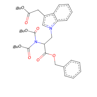 CC(C)COC(=O)Cc1cn(CC(C(=O)OCc2ccccc2)N(C(=O)OCC(C)C)C(=O)OCC(C)C)c2ccccc12